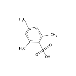 Cc1[c]c(C)c(S(=O)(=O)O)c(C)c1